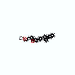 CCOC(C)/C=C\C=C/C1C=Cc2c(oc3ccc(-c4ccc(-c5ccc6c7c(cccc57)-c5cc7ccccc7cc5-6)cc4)cc23)C1